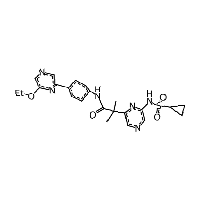 CCOc1cncc(-c2ccc(NC(=O)C(C)(C)c3cncc(NS(=O)(=O)C4CC4)n3)cc2)n1